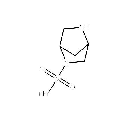 CCCS(=O)(=O)N1CC2CC1CN2